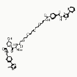 Cc1ncsc1-c1ccc(CNC(=O)[C@@H]2C[C@@H](O)CN2C(=O)[C@@H](NC(=O)COCCOCCOCCOCCNC(=O)c2ccc(C(=O)Nc3nc(-c4ccccn4)cs3)cc2)C(C)(C)C)cc1